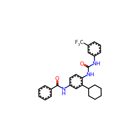 O=C(Nc1cccc(C(F)(F)F)c1)Nc1ccc(NC(=O)c2ccccc2)cc1C1CCCCC1